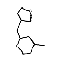 CC1CCOC(CC2CCOC2)C1